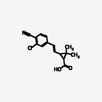 CC1(C)C(C=Cc2ccc(C#N)c(Cl)c2)C1C(=O)O